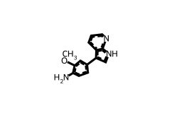 COc1cc(-c2c[nH]c3ncccc23)ccc1N